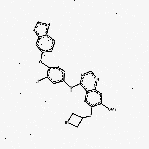 COc1cc2ncnc(Nc3ccc(Oc4ccn5ncnc5c4)c(Cl)c3)c2cc1OC1CNC1